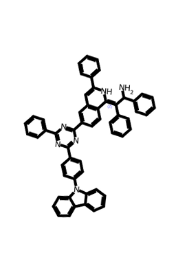 NC(/C(=C1\NC(c2ccccc2)=Cc2cc(-c3nc(-c4ccccc4)nc(-c4ccc(-n5c6ccccc6c6ccccc65)cc4)n3)ccc21)c1ccccc1)c1ccccc1